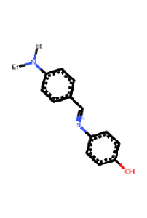 CCN(CC)c1ccc(/C=N/c2ccc(O)cc2)cc1